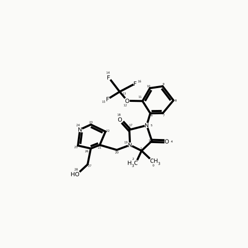 CC1(C)C(=O)N(c2ccccc2OC(F)(F)F)C(=O)N1Cc1ccncc1CO